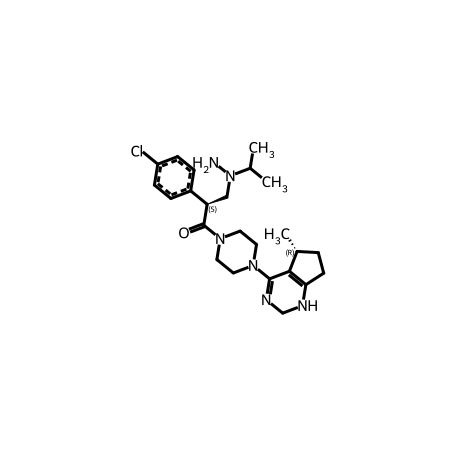 CC(C)N(N)C[C@@H](C(=O)N1CCN(C2=NCNC3=C2[C@H](C)CC3)CC1)c1ccc(Cl)cc1